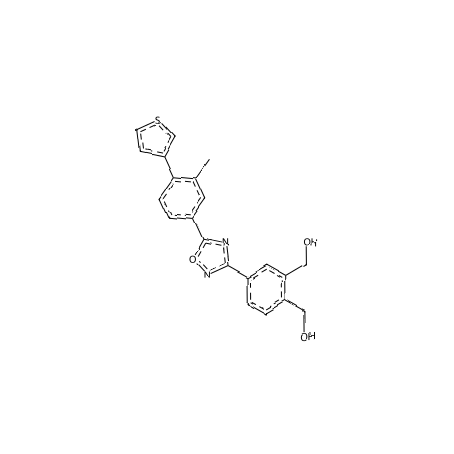 Cc1cc(-c2nc(-c3ccc(CO)c(CO)c3)no2)ccc1-c1ccsc1